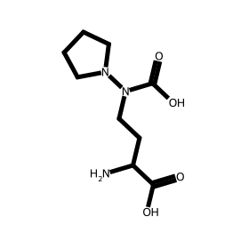 NC(CCN(C(=O)O)N1CCCC1)C(=O)O